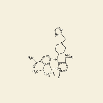 CC(C)c1c(C(N)=O)ccc(N(c2cc(F)ccc2C(N)=O)C2CCN(Cc3nccs3)CC2)c1C(C)C